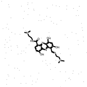 CN(C)CC/N=C/c1c(O)cc(O)c2nc3c(C(=O)NCCN(C)C)ccc(O)c3nc12